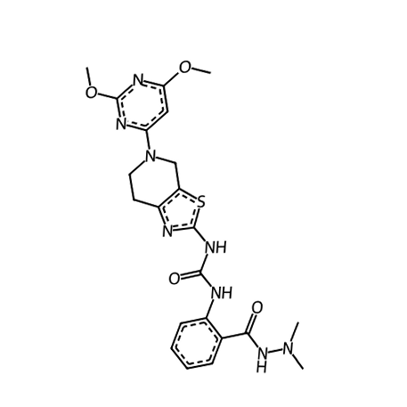 COc1cc(N2CCc3nc(NC(=O)Nc4ccccc4C(=O)NN(C)C)sc3C2)nc(OC)n1